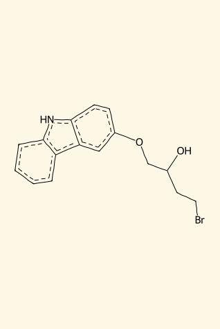 OC(CCBr)COc1ccc2[nH]c3ccccc3c2c1